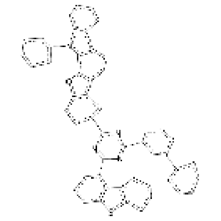 c1ccc(-c2cccc(-c3nc(-c4ccc5oc6c(ccc7c8ccccc8n(-c8ccccc8)c76)c5c4)nc(-c4cccc5sc6ccccc6c45)n3)c2)cc1